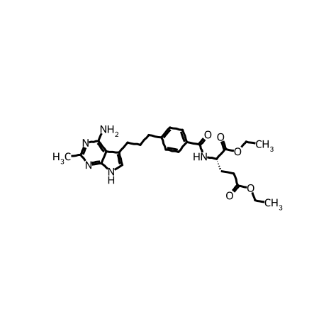 CCOC(=O)CC[C@H](NC(=O)c1ccc(CCCc2c[nH]c3nc(C)nc(N)c23)cc1)C(=O)OCC